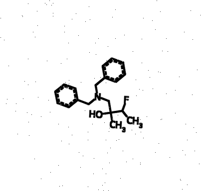 CC(F)C(C)(O)CN(Cc1ccccc1)Cc1ccccc1